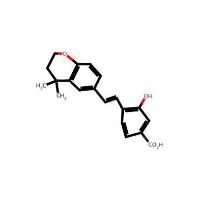 CC1(C)CCOc2ccc(/C=C/c3ccc(C(=O)O)cc3O)cc21